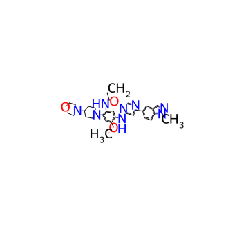 C=CC(=O)Nc1cc(Nc2cc(-c3ccc4c(cnn4C)c3)ncn2)c(OC)cc1N1CCC(N2CCOCC2)CC1